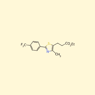 CCOC(=O)CCc1sc(-c2ccc(C(F)(F)F)cc2)nc1C